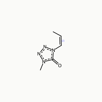 C/C=C\n1nnn(C)c1=O